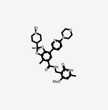 CCN1CCC([C@]2(C)Oc3c(-c4ccc(N5CCOCC5)nc4)cc(C(=O)NCc4c(SC)cc(C)[nH]c4=O)c(C)c3O2)CC1